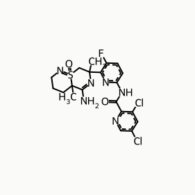 CC1(c2nc(NC(=O)c3ncc(Cl)cc3Cl)ccc2F)CS2(=O)=NCCCC2(C)C(N)=N1